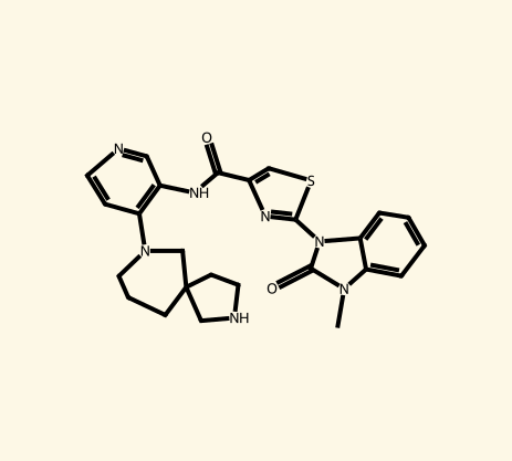 Cn1c(=O)n(-c2nc(C(=O)Nc3cnccc3N3CCCC4(CCNC4)C3)cs2)c2ccccc21